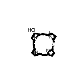 C1=Cc2cc3ccc(cc4nc(cc5ccc(cc1n2)[nH]5)C=C4)[nH]3.Cl